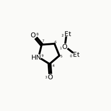 CCOCC.O=C1CCC(=O)N1